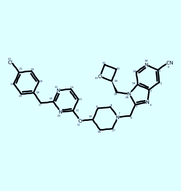 N#Cc1cc2nc(CN3CCC(Oc4ccnc(Cc5ccc(Cl)cc5)n4)CC3)n(C[C@@H]3CCO3)c2cn1